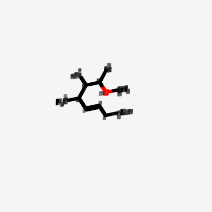 CCCCCCCCCCC=CC(C)C(CCC)C(CC)O[SiH3]